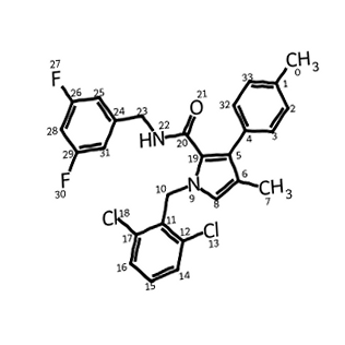 Cc1ccc(-c2c(C)cn(Cc3c(Cl)cccc3Cl)c2C(=O)NCc2cc(F)cc(F)c2)cc1